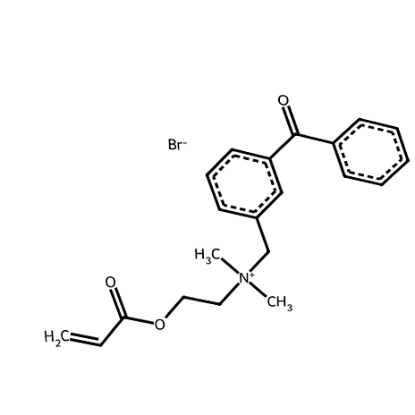 C=CC(=O)OCC[N+](C)(C)Cc1cccc(C(=O)c2ccccc2)c1.[Br-]